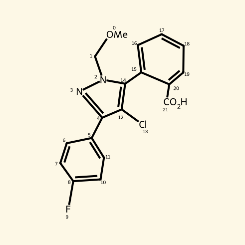 COCn1nc(-c2ccc(F)cc2)c(Cl)c1-c1ccccc1C(=O)O